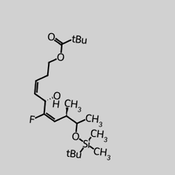 CC(O[Si](C)(C)C(C)(C)C)[C@H](C)/C=C(/F)[C@@H](O)/C=C\CCOC(=O)C(C)(C)C